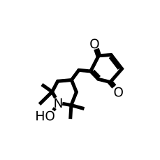 CC1(C)CC(CC2=CC(=O)C=CC2=O)CC(C)(C)N1O